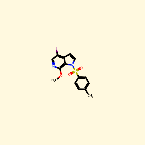 COc1ncc(I)c2ccn(S(=O)(=O)c3ccc(C)cc3)c12